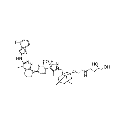 Cc1c(Nc2nc3cccc(F)c3s2)nnc2c1CCCN2c1ccc(-c2cnn(CC34CC5(C)CC(C)(C3)CC(OCCNCC[C@@H](O)CO)(C5)C4)c2C)c(C(=O)O)n1